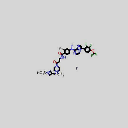 CCc1cc(Nc2nccn3c(-c4ccc(OC(F)F)c(F)c4F)cnc23)ccc1C(=O)NCCC(=O)N1CC[N+](C)(CC2CN(C(=O)O)C2)CC1.[I-]